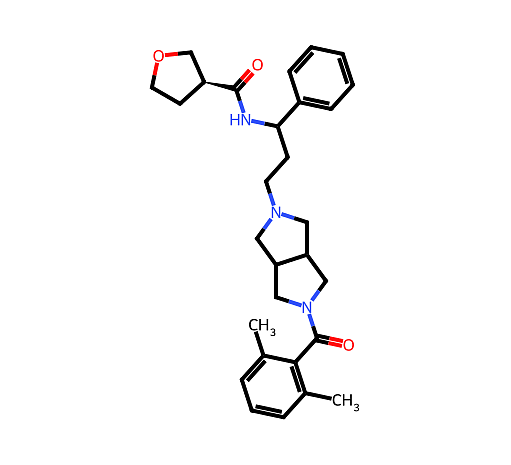 Cc1cccc(C)c1C(=O)N1CC2CN(CCC(NC(=O)[C@H]3CCOC3)c3ccccc3)CC2C1